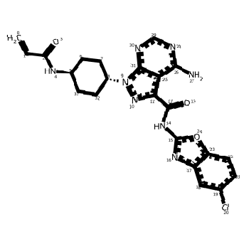 C=CC(=O)N[C@H]1CC[C@H](n2nc(C(=O)Nc3nc4cc(Cl)ccc4o3)c3c(N)ncnc32)CC1